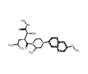 COc1ccc2cc(N3CCN(C(=O)[C@@H](CC(C)C)[C@H](O)C(=O)NO)C(C)C3)ccc2c1